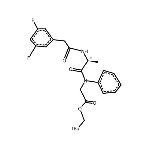 C[C@H](NC(=O)Cc1cc(F)cc(F)c1)C(=O)N(CC(=O)OCC(C)(C)C)c1ccccc1